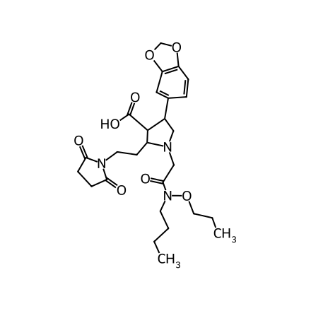 CCCCN(OCCC)C(=O)CN1CC(c2ccc3c(c2)OCO3)C(C(=O)O)C1CCN1C(=O)CCC1=O